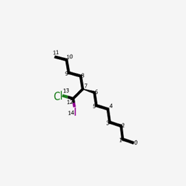 CCCCCCC[C@H](CCCC)C(Cl)I